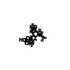 CC(C)(O)c1cnc2ccc(-c3nc4ncon4c3-c3ccn(C4CC4)n3)cn12